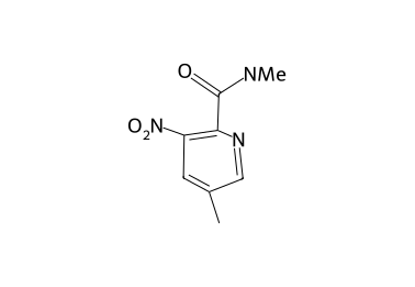 CNC(=O)c1ncc(C)cc1[N+](=O)[O-]